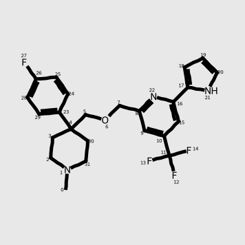 CN1CCC(COCc2cc(C(F)(F)F)cc(-c3ccc[nH]3)n2)(c2ccc(F)cc2)CC1